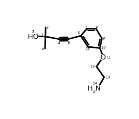 CC(C)(O)C#Cc1cccc(OCCN)c1